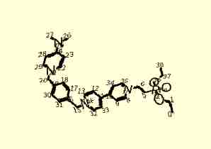 CCOP(=O)(CC[n+]1ccc(-c2cc[n+](Cc3ccc(C[n+]4ccc(N(C)C)cc4)cc3)cc2)cc1)OCC